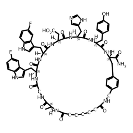 C[C@@H]1NC(=O)CCCCCC(=O)NCc2ccc(cc2)C[C@@H](C(N)=O)NC(=O)[C@H](Cc2ccc(O)cc2)NC(=O)[C@H](Cc2cnc[nH]2)NC(=O)[C@H](CC(=O)O)NC(=O)[C@H](Cc2c[nH]c3ccc(F)cc23)NC(=O)[C@H](Cc2c[nH]c3ccc(F)cc23)NC(=O)CNC1=O